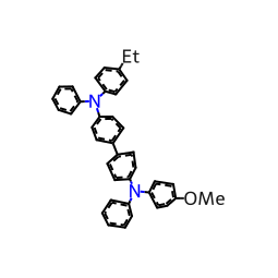 CCc1ccc(N(c2ccccc2)c2ccc(-c3ccc(N(c4ccccc4)c4ccc(OC)cc4)cc3)cc2)cc1